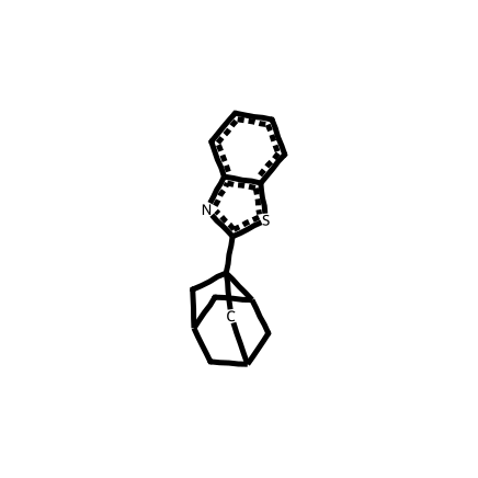 c1ccc2sc(C34CC5CC(CC3C5)C4)nc2c1